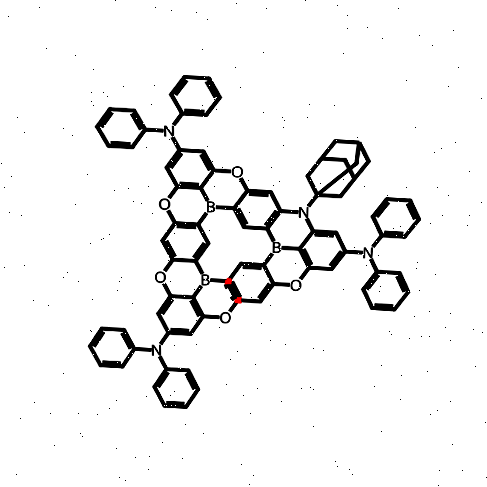 c1ccc(N(c2ccccc2)c2cc3c4c(c2)Oc2cc5c(cc2B4c2ccccc2O3)B2c3cc4c(cc3Oc3cc(N(c6ccccc6)c6ccccc6)cc(c32)O5)N(C23CC5CC(CC(C5)C2)C3)c2cc(N(c3ccccc3)c3ccccc3)cc3c2B4c2ccccc2O3)cc1